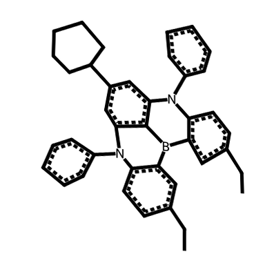 CCc1ccc2c(c1)B1c3cc(CC)ccc3N(c3ccccc3)c3cc(C4CCCCC4)cc(c31)N2c1ccccc1